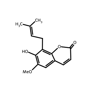 COc1cc2ccc(=O)oc2c(CC=C(C)C)c1O